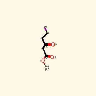 CCOC(=O)CC(=O)CCI